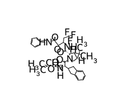 CC(C)(C)OC(=O)N[C@H](C(=O)N1C[C@H]2[C@@H]([C@H]1C(=O)NC(CC(F)(F)F)C(=O)C(=O)NCc1ccccc1)C2(C)C)C1Cc2ccccc2C1